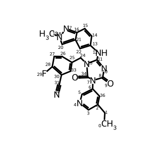 CCc1cncc(-n2c(=O)nc(Nc3ccc4nn(C)cc4c3)n(Cc3ccc(F)c(C#N)c3)c2=O)c1